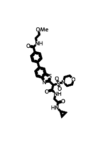 COCCNC(=O)c1ccc(-c2ccc3nc(C(C(=O)NCC(=O)NC4CC4)S(=O)(=O)N4CCOCC4)sc3c2)cc1